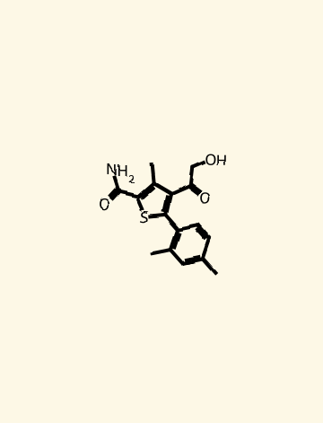 Cc1ccc(-c2sc(C(N)=O)c(C)c2C(=O)CO)c(C)c1